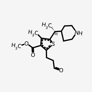 COC(=O)c1c(CCC=O)sc([C@H](C)C2CCNCC2)c1C